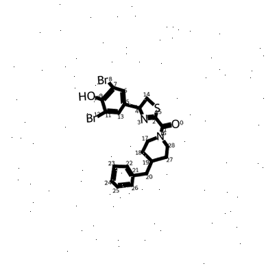 O=C(C1=NC(c2cc(Br)c(O)c(Br)c2)CS1)N1CCC(Cc2ccccc2)CC1